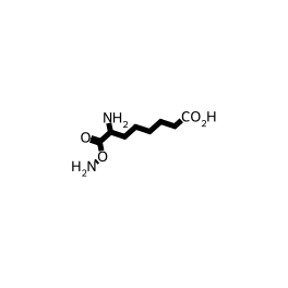 NOC(=O)C(N)CCCCCC(=O)O